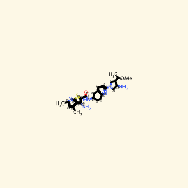 COC(C)C1CN(c2ccc3c(n2)CCC(NC(=O)c2sc4nc(C)cc(C)c4c2N)C3)CC1N